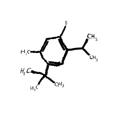 Cc1cc(F)c(C(C)C)cc1C(C)(C)C